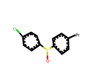 CC(C)c1ccc([S+]([O-])c2ccc(Cl)cc2)cc1